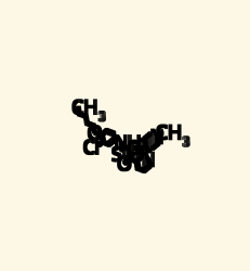 CCCCCOc1ccc(NC(=S)NC(=O)c2cccnc2C(=O)N2CCN(C)CC2)cc1Cl